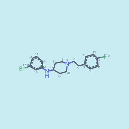 Fc1ccc(CCN2CCC(Nc3cccc(Br)c3)CC2)cc1